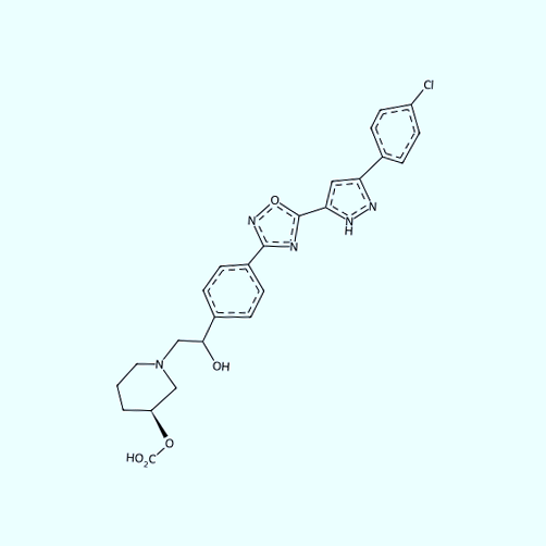 O=C(O)O[C@H]1CCCN(CC(O)c2ccc(-c3noc(-c4cc(-c5ccc(Cl)cc5)n[nH]4)n3)cc2)C1